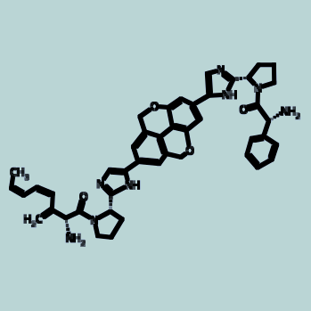 C=C(/C=C\C=C/C)[C@@H](N)C(=O)N1CCC[C@H]1c1ncc(-c2cc3c4c(c2)COc2cc(-c5cnc([C@@H]6CCCN6C(=O)[C@H](N)c6ccccc6)[nH]5)cc(c2-4)OC3)[nH]1